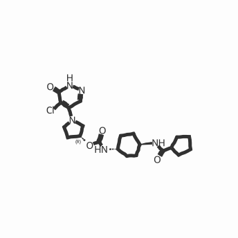 O=C(N[C@H]1CC[C@H](NC(=O)C2CCCC2)CC1)O[C@@H]1CCN(c2cn[nH]c(=O)c2Cl)C1